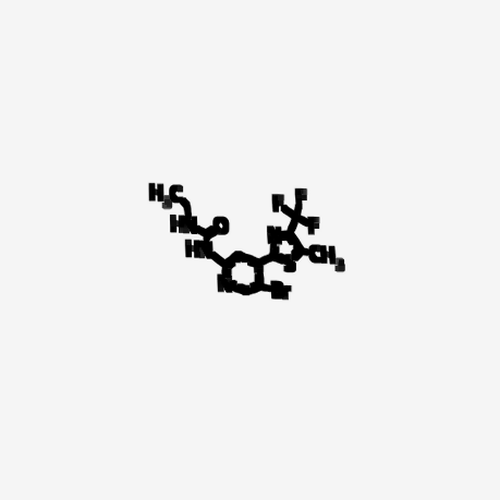 CCNC(=O)Nc1cc(-c2nc(C(F)(F)F)c(C)s2)c(Br)cn1